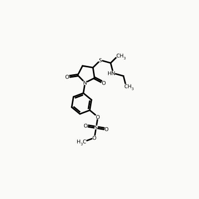 CCNC(C)SC1CC(=O)N(c2cccc(OS(=O)(=O)OC)c2)C1=O